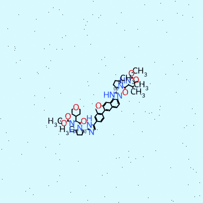 COC(=O)NC(C(=O)N1[C@@H](C)CC[C@H]1c1nc2ccc3cc4c(cc3c2[nH]1)OCc1cc(-c2cnc([C@@H]3CC[C@H](C)N3C(=O)C(NC(=O)OC)C3CCOCC3)[nH]2)ccc1-4)C(C)C